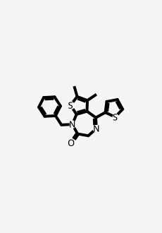 Cc1sc2c(c1C)C(c1cccs1)=NCC(=O)N2Cc1ccccc1